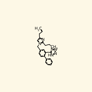 C=CCc1cn(Cc2ccc(-c3ccccc3)c(-c3nnn[nH]3)c2)c(CCC)n1